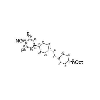 CCCCCCCC[C@H]1CC[C@H](CC[C@H]2CC[C@H](c3cc(F)c(C#N)c(F)c3)CC2)CC1